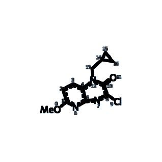 COc1ccc2c(n1)nc(Cl)c(=O)n2CC1CC1